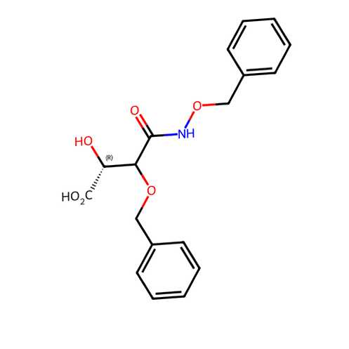 O=C(NOCc1ccccc1)C(OCc1ccccc1)[C@@H](O)C(=O)O